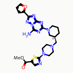 COC(=O)c1cnc(N2CCN(C[C@@H]3CCCN(c4nc(N)n5nc(-c6ccco6)nc5n4)C3)CC2)s1